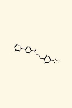 Cc1ccnc(-c2ccc(C(=O)NCCc3ccc(S(N)(=O)=O)cc3)cc2)c1